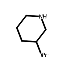 C[C](C)C1CCCNC1